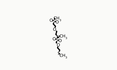 CSCCOCS(=O)(=O)N(C)CCOCCS(C)(=O)=O